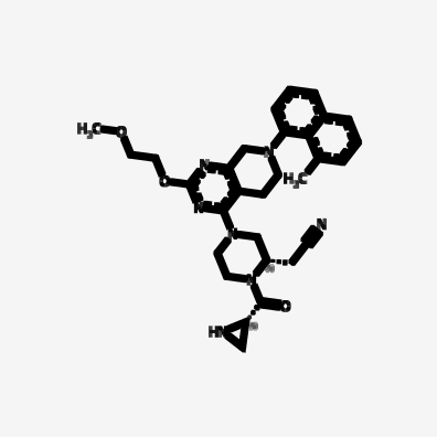 COCCOc1nc2c(c(N3CCN(C(=O)[C@@H]4CN4)[C@@H](CC#N)C3)n1)CCN(c1cccc3cccc(C)c13)C2